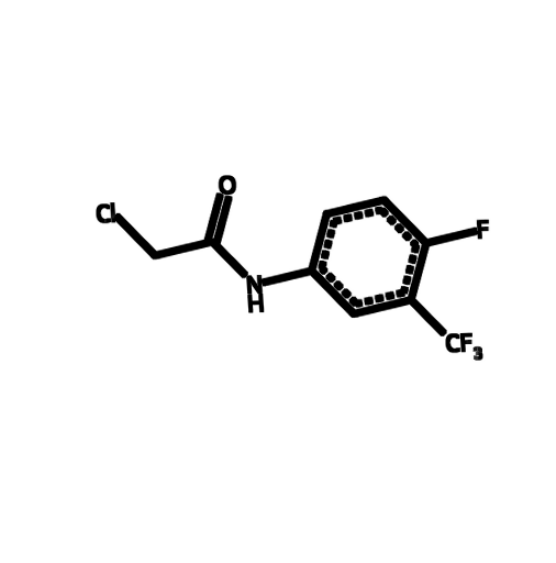 O=C(CCl)Nc1ccc(F)c(C(F)(F)F)c1